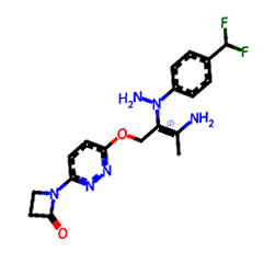 C/C(N)=C(\COc1ccc(N2CCC2=O)nn1)N(N)c1ccc(C(F)F)cc1